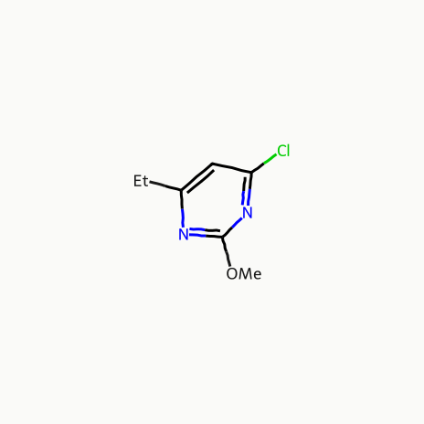 CCc1cc(Cl)nc(OC)n1